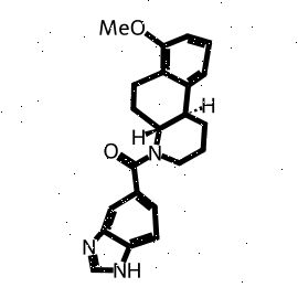 COc1cccc2c1CC[C@@H]1[C@@H]2CCCN1C(=O)c1ccc2[nH]cnc2c1